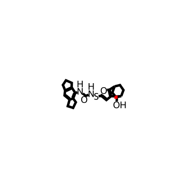 O=C(NSc1cc2c(o1)C1CCC(CC1)C2O)Nc1c2c(cc3c1CCC3)CCC2